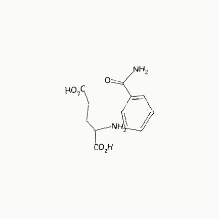 NC(=O)c1ccccc1.NC(CCC(=O)O)C(=O)O